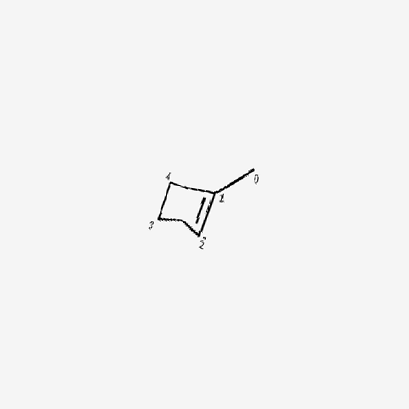 CC1=[C]CC1